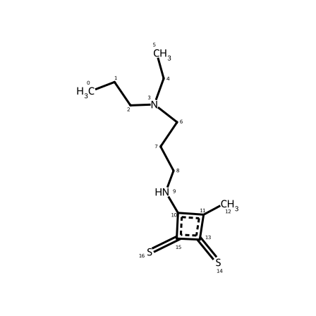 CCCN(CC)CCCNc1c(C)c(=S)c1=S